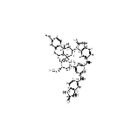 CC(C)c1ccc2c(c1)CCC1C(C)(C)CC(n3c(=O)[nH]c4ccc(Nc5nc(NCCS(=O)(=O)O)nc(Nc6ccc7[nH]c(=O)[nH]c7c6)n5)cc43)CC21C